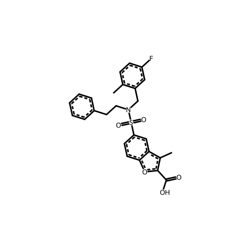 Cc1ccc(F)cc1CN(CCc1ccccc1)S(=O)(=O)c1ccc2oc(C(=O)O)c(C)c2c1